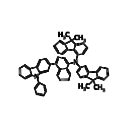 CC1(C)c2ccccc2-c2cc(N(c3cccc4c3-c3ccccc3C4(C)C)c3ccc(-c4ccc5c6ccccc6n(-c6ccccc6)c5c4)c4ccccc34)ccc21